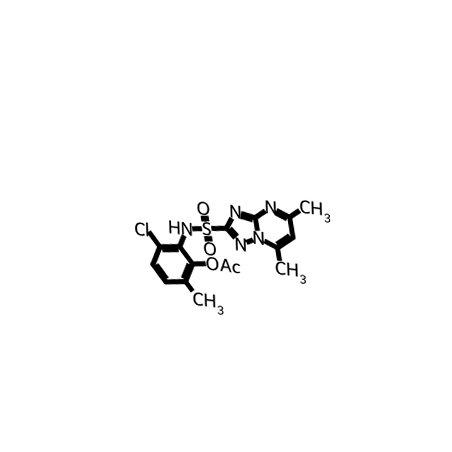 CC(=O)Oc1c(C)ccc(Cl)c1NS(=O)(=O)c1nc2nc(C)cc(C)n2n1